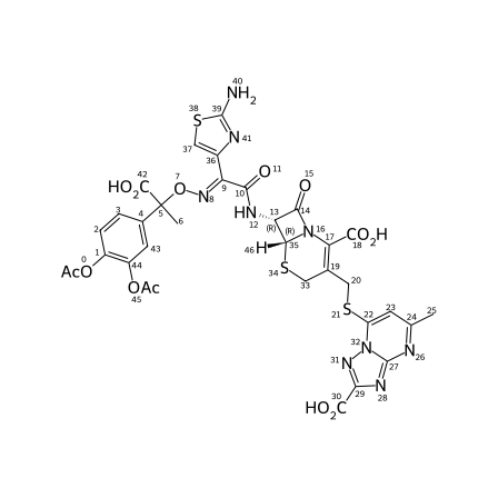 CC(=O)Oc1ccc(C(C)(ON=C(C(=O)N[C@@H]2C(=O)N3C(C(=O)O)=C(CSc4cc(C)nc5nc(C(=O)O)nn45)CS[C@H]23)c2csc(N)n2)C(=O)O)cc1OC(C)=O